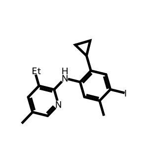 CCc1cc(C)cnc1Nc1cc(C)c(I)cc1C1CC1